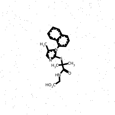 Cc1cnc(SC(C)(C)C(=O)NCC(=O)O)n1-c1cccc2ccccc12